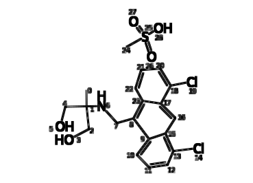 CC(CO)(CO)NCc1c2cccc(Cl)c2cc2c(Cl)cccc12.CS(=O)(=O)O